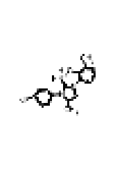 Cc1cccc(N2CC(C)N(c3ccc(Cl)cc3)C2=N)c1C